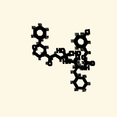 O=CC(O)(CCC(=O)N1CCOC(c2ccccc2)C1)NC(=O)[C@H](CC1CCCCC1)NC(=O)OCc1cccc(Cl)c1